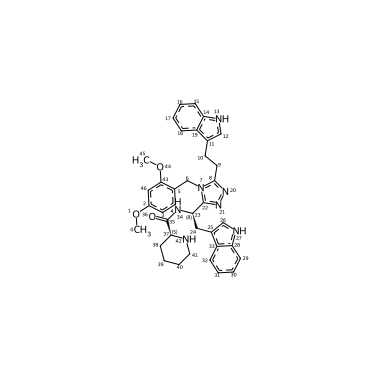 COc1ccc(Cn2c(CCc3c[nH]c4ccccc34)nnc2[C@@H](Cc2c[nH]c3ccccc23)NC(=O)[C@@H]2CCCCN2)c(OC)c1